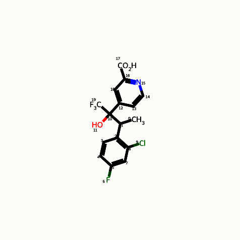 CC(c1ccc(F)cc1Cl)C(O)(c1ccnc(C(=O)O)c1)C(F)(F)F